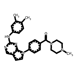 Cc1ccc(Nc2ncc3ccn(-c4ccc(C(=O)N5CCN(C)CC5)cc4)c3n2)cc1C